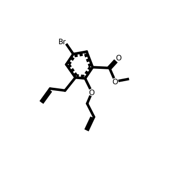 C=CCOc1c(CC=C)cc(Br)cc1C(=O)OC